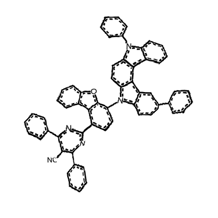 N#Cc1c(-c2ccccc2)nc(-c2ccc(-n3c4ccc(-c5ccccc5)cc4c4c5c6ccccc6n(-c6ccccc6)c5ccc43)c3oc4ccccc4c23)nc1-c1ccccc1